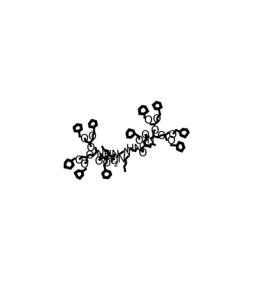 CCCC(N)CN(CCNC(=O)c1cc(C)n(C(COC(COCc2ccccc2)COCc2ccccc2)COC(COCc2ccccc2)COCc2ccccc2)c(=O)c1OCc1ccccc1)CCNC(=O)c1cc(C)n(C(COC(COCc2ccccc2)COCc2ccccc2)COC(COCc2ccccc2)COCc2ccccc2)c(=O)c1OCc1ccccc1